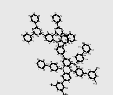 CCCCc1cc(I)cc(-c2ccc3c(c2)N(c2ccc(-c4ccccc4)cc2)c2cc(-c4ccc5c(c4)c4ccccc4n5-c4ccc(-c5nc(-c6ccccc6)nc(-c6ccccc6)n5)cc4-c4nc(-c5ccccc5)nc(-c5ccccc5)n4)cc4c2B3c2ccc(-c3cc(I)cc(I)c3)cc2N4c2ccc(-c3ccccc3)cc2)c1